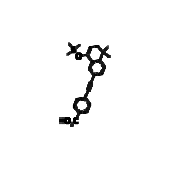 CC1(C)CC=C(O[Si](C)(C)C)c2cc(C#Cc3ccc(C(=O)O)cc3)ccc21